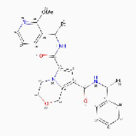 CCC(NC(=O)c1cc(C(=O)N[C@H](CC)c2ccccc2)c2n1CCOC2)c1cccnc1OC